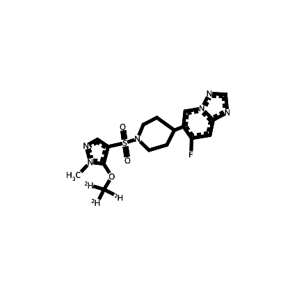 [2H]C([2H])([2H])Oc1c(S(=O)(=O)N2CCC(c3cn4ncnc4cc3F)CC2)cnn1C